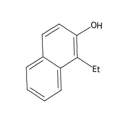 [CH2]Cc1c(O)ccc2ccccc12